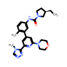 CC[C@@H]1CCN(C(=O)Nc2ccc(C)c(-c3cc(-c4nncn4C)nc(N4CCOCC4)c3)c2)C1